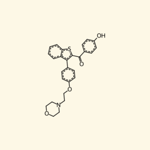 O=C(c1ccc(O)cc1)c1sc2ccccc2c1-c1ccc(OCCN2CCOCC2)cc1